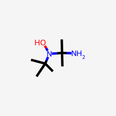 CC(C)(C)N(O)C(C)(C)N